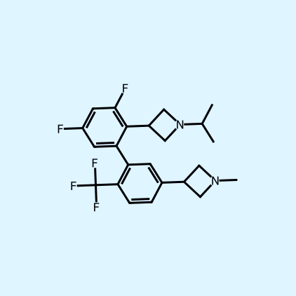 CC(C)N1CC(c2c(F)cc(F)cc2-c2cc(C3CN(C)C3)ccc2C(F)(F)F)C1